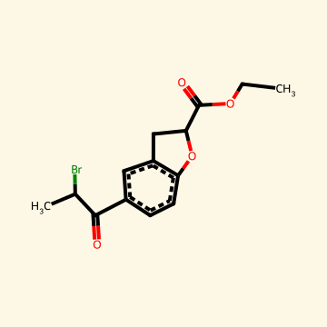 CCOC(=O)C1Cc2cc(C(=O)C(C)Br)ccc2O1